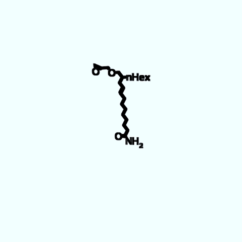 CCCCCCC(CC=CCCCCCCCC(N)=O)COCC1CO1